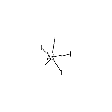 I[As](I)(I)(I)I